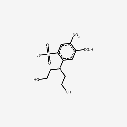 CCS(=O)(=O)c1cc([N+](=O)[O-])c(C(=O)O)cc1N(CCO)CCO